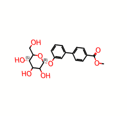 COC(=O)c1ccc(-c2cccc(O[C@H]3OC(CO)[C@@H](O)C(O)C3O)c2)cc1